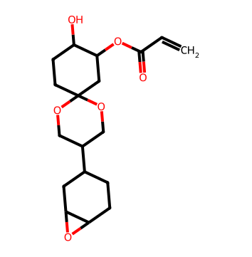 C=CC(=O)OC1CC2(CCC1O)OCC(C1CCC3OC3C1)CO2